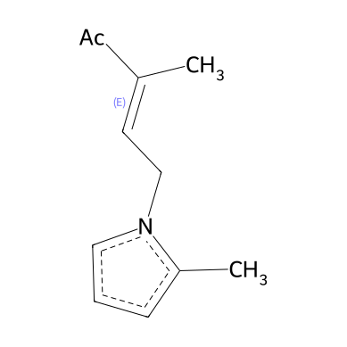 CC(=O)/C(C)=C/Cn1cccc1C